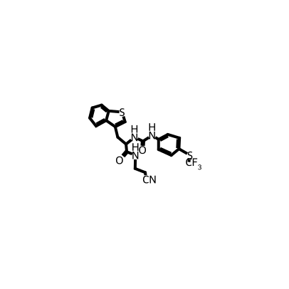 N#CCCNC(=O)C(Cc1csc2ccccc12)NC(=O)Nc1ccc(SC(F)(F)F)cc1